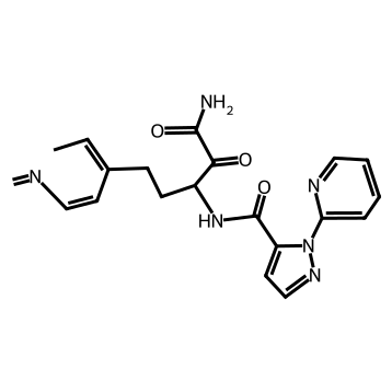 C=N/C=C\C(=C/C)CCC(NC(=O)c1ccnn1-c1ccccn1)C(=O)C(N)=O